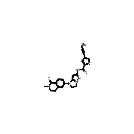 CN1CCc2cc(N3CCn4nc(NC(=O)c5cc(C#CC(C)(C)C)cs5)cc43)ccc2C1=O